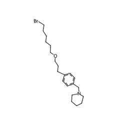 BrCCCCCCOCCCc1ccc(CN2CCCCC2)cc1